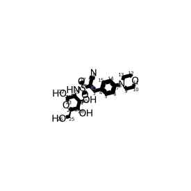 N#C/C(=C\c1ccc(N2CCOCC2)cc1)S(=O)(=O)N[C@H]1C(O)O[C@H](CO)[C@@H](O)[C@@H]1O